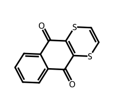 O=c1c2sccsc=2c(=O)c2ccccc12